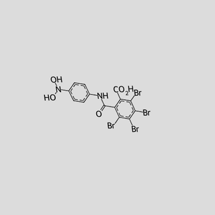 O=C(O)c1c(Br)c(Br)c(Br)c(Br)c1C(=O)Nc1ccc(N(O)O)cc1